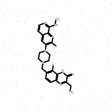 CCc1nc2ccc(CN3CCN(c4cc5ccnc(NC)c5nc4F)CC3)c(F)c2[nH]c1=O